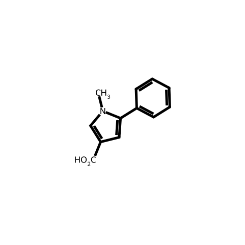 Cn1cc(C(=O)O)cc1-c1ccccc1